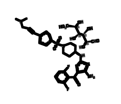 CN(C)CC#Cc1ccc(S(=O)(=O)N2CCC(Nc3nc(N)c(C(=O)c4c(F)cccc4F)s3)CC2)cc1.O=C[C@H](O)[C@@H](O)[C@H](O)[C@H](O)C(=O)O